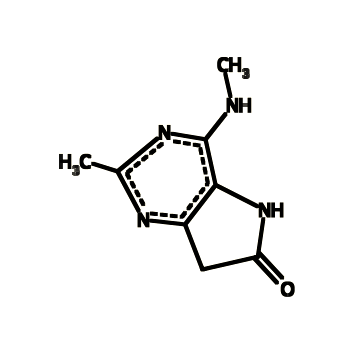 CNc1nc(C)nc2c1NC(=O)C2